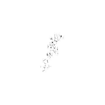 C=CC(=O)Nc1cccc(Cn2ccc(C(=O)c3cncnc3N[C@@H]3C[C@H](CO[Si](C)(C)C(C)(C)C)[C@H]4OC(C)(C)O[C@H]43)n2)c1